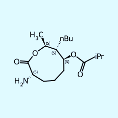 CCCC[C@H]1[C@H](C)OC(=O)[C@@H](N)CCC[C@@H]1OC(=O)C(C)C